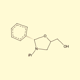 CC(C)N1CC(CO)O[C@H]1c1ccccc1